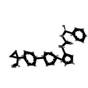 C[C@@H](OC(=O)Nc1cnsc1-c1ccc(-c2ccc(C3(C=O)CC3)cc2)cc1)c1ccccc1